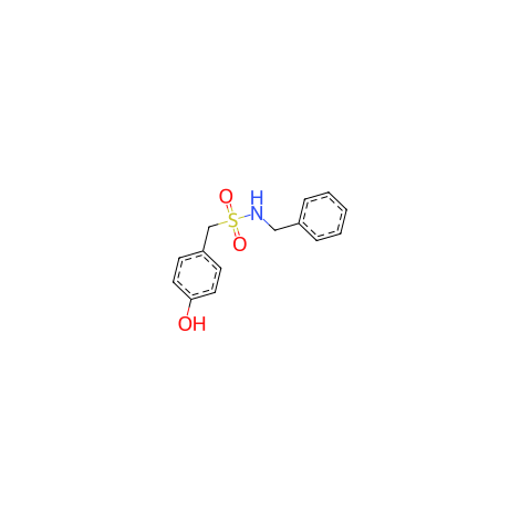 O=S(=O)(Cc1ccc(O)cc1)NCc1ccccc1